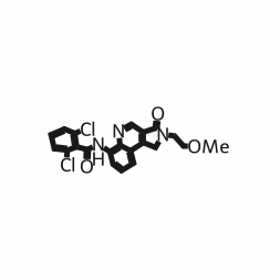 COCCN1Cc2c(cnc3c(NC(=O)c4c(Cl)cccc4Cl)cccc23)C1=O